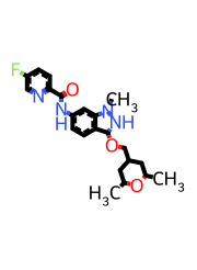 CC1CC(COC2NN(C)c3cc(NC(=O)c4ccc(F)cn4)ccc32)CC(C)O1